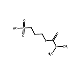 CN(C)C(=O)SCCCS(=O)(=O)O